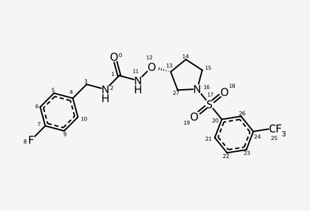 O=C(NCc1ccc(F)cc1)NO[C@@H]1CCN(S(=O)(=O)c2cccc(C(F)(F)F)c2)C1